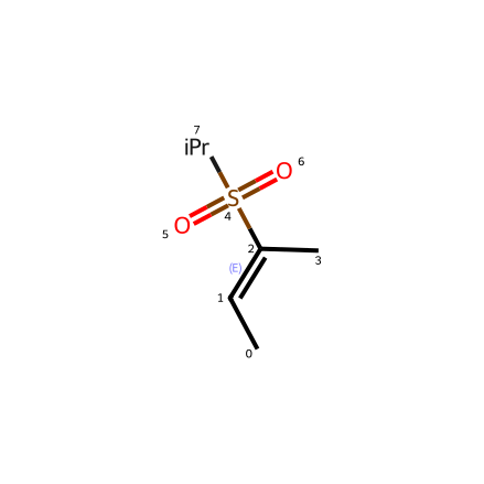 C/C=C(\C)S(=O)(=O)C(C)C